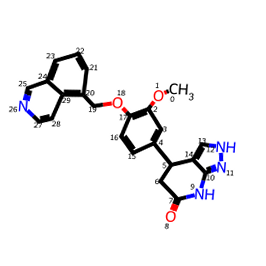 COc1cc(C2CC(=O)Nc3n[nH]cc32)ccc1OCc1cccc2cnccc12